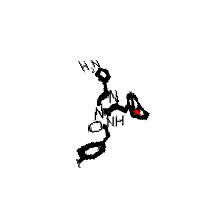 Nc1ccc(-c2cnc(NC(=O)Cc3ccc(I)cc3)c(CC34CC5CC(CC(C5)C3)C4)n2)cc1